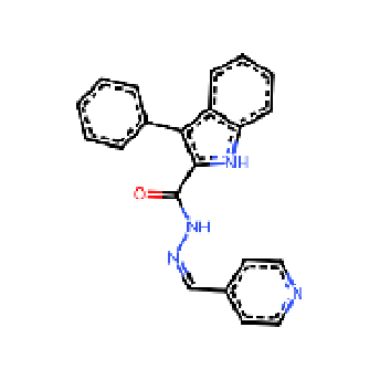 O=C(N/N=C\c1ccncc1)c1[nH]c2ccccc2c1-c1ccccc1